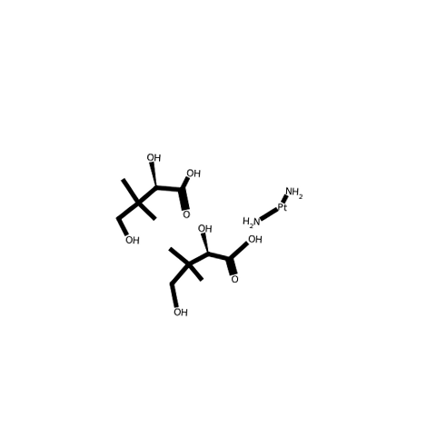 CC(C)(CO)[C@@H](O)C(=O)O.CC(C)(CO)[C@@H](O)C(=O)O.[NH2][Pt][NH2]